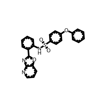 O=S(=O)(Nc1ccccc1-c1nc2ncccc2o1)c1ccc(Oc2ccccc2)cc1